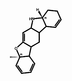 C[C@@]12C=CC=CC1C1CC3C(C=C1O2)N[C@@H]1CCC=CC31